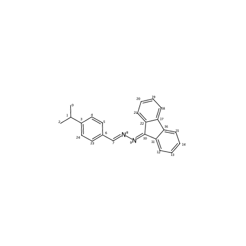 CC(C)c1ccc(C=NN=C2c3ccccc3-c3ccccc32)cc1